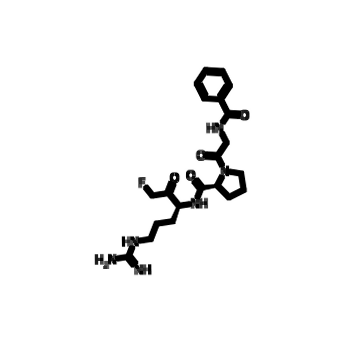 N=C(N)NCCC[C@H](NC(=O)[C@@H]1CCCN1C(=O)CNC(=O)c1ccccc1)C(=O)CF